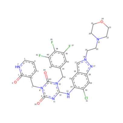 O=c1[nH]cccc1Cn1c(=O)nc(Nc2cc3cn(CCN4CCOCC4)nc3cc2Cl)n(Cc2cc(F)c(F)c(F)c2)c1=O